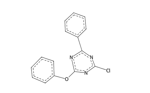 Clc1nc(Oc2ccccc2)nc(-c2ccccc2)n1